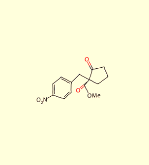 COC(=O)C1(Cc2ccc([N+](=O)[O-])cc2)CCCC1=O